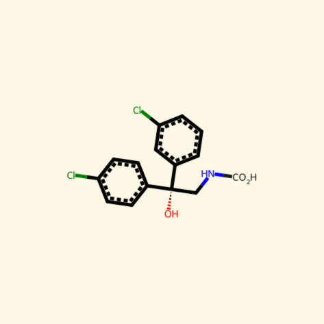 O=C(O)NC[C@@](O)(c1ccc(Cl)cc1)c1cccc(Cl)c1